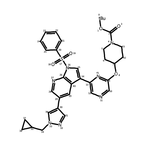 CC(C)(C)OC(=O)N1CCC(Oc2cncc(-c3cn(S(=O)(=O)c4ccccc4)c4ncc(-c5cnn(CC6CC6)c5)cc34)n2)CC1